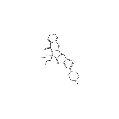 CCCC1(CCC)C(=O)N(Cc2ccc(N3CCN(C)CC3)cc2)c2nc3ccccc3c(=O)n21